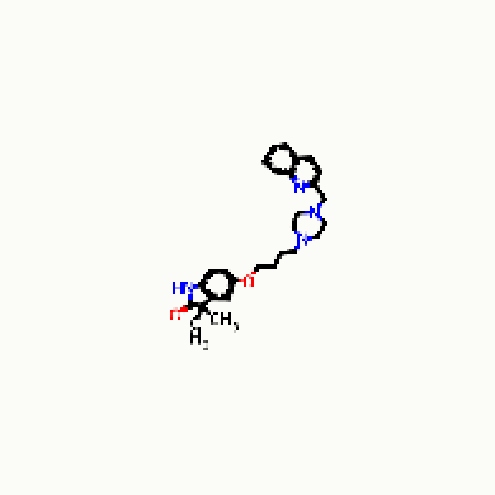 CC1(C)C(=O)Nc2ccc(OCCCCN3CCN(Cc4ccc5ccccc5n4)CC3)cc21